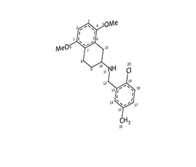 COc1ccc(OC)c2c1CCC(NCc1cc(C)ccc1Cl)C2